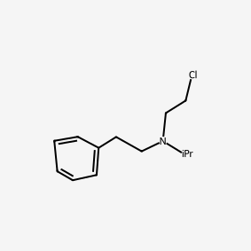 CC(C)N(CCCl)CCc1ccccc1